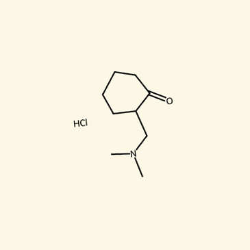 CN(C)CC1CCCCC1=O.Cl